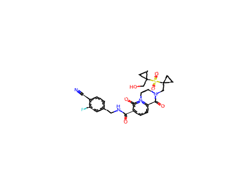 N#Cc1ccc(CNC(=O)c2ccc3n(c2=O)CCN(CC2(S(=O)(=O)C4(CO)CC4)CC2)C3=O)cc1F